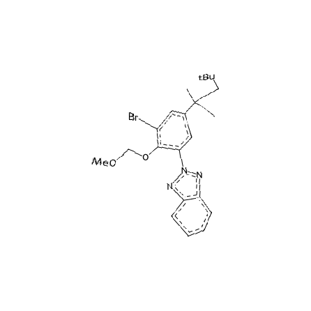 COCOc1c(Br)cc(C(C)(C)CC(C)(C)C)cc1-n1nc2ccccc2n1